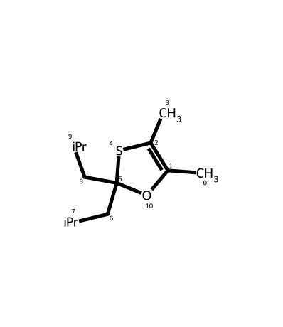 CC1=C(C)SC(CC(C)C)(CC(C)C)O1